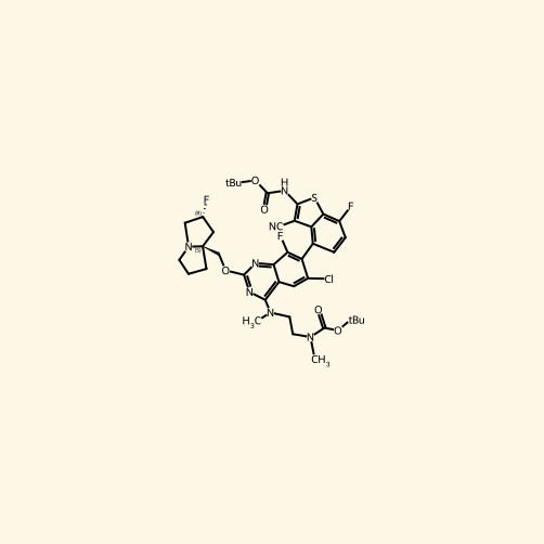 CN(CCN(C)c1nc(OC[C@@]23CCCN2C[C@H](F)C3)nc2c(F)c(-c3ccc(F)c4sc(NC(=O)OC(C)(C)C)c(C#N)c34)c(Cl)cc12)C(=O)OC(C)(C)C